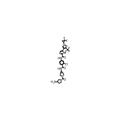 Cn1c(-c2cn(C3CC3(F)F)nc2C(F)(F)F)cnc1C(=O)Nc1ccc(C(=O)NC2C3CN(C(=O)N4CC[C@@H](N)C4)CC32)c(Cl)c1